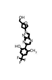 Cc1cc(C(F)(F)F)cc(O)c1-c1cnc2cn(C34COC(CO)(C3)C4)nc2n1